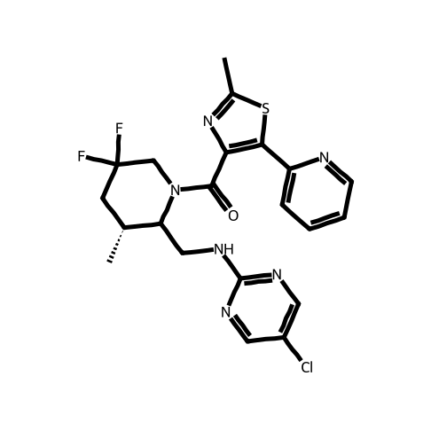 Cc1nc(C(=O)N2CC(F)(F)C[C@@H](C)C2CNc2ncc(Cl)cn2)c(-c2ccccn2)s1